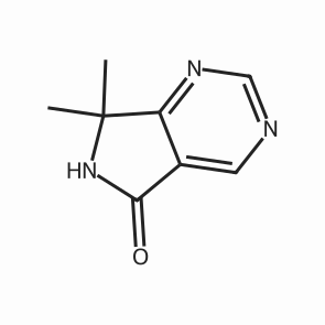 CC1(C)NC(=O)c2cncnc21